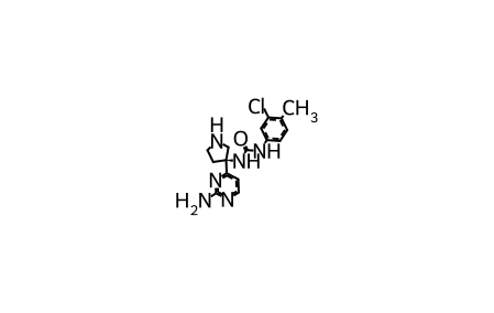 Cc1ccc(NC(=O)N[C@@]2(c3ccnc(N)n3)CCNC2)cc1Cl